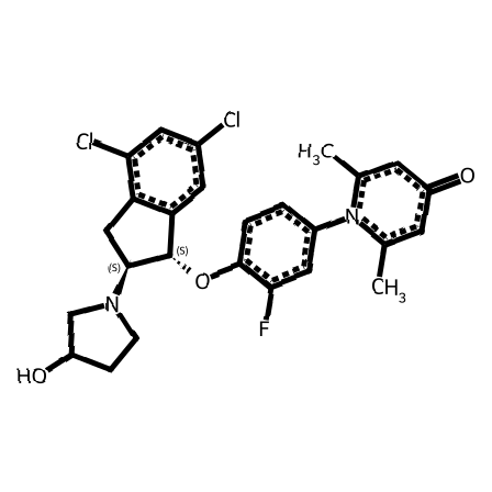 Cc1cc(=O)cc(C)n1-c1ccc(O[C@H]2c3cc(Cl)cc(Cl)c3C[C@@H]2N2CCC(O)C2)c(F)c1